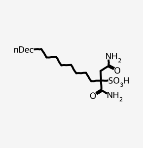 CCCCCCCCCCCCCCCCCCC(CC(N)=O)(C(N)=O)S(=O)(=O)O